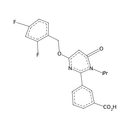 CC(C)n1c(-c2cccc(C(=O)O)c2)nc(OCc2ccc(F)cc2F)cc1=O